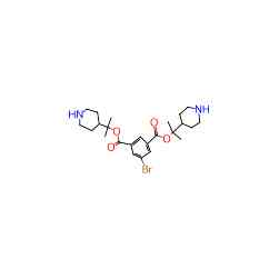 CC(C)(OC(=O)c1cc(Br)cc(C(=O)OC(C)(C)C2CCNCC2)c1)C1CCNCC1